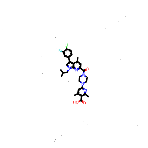 Cc1cc(N2CCN(C(=O)c3cc(C)c4c(-c5ccc(Cl)c(F)c5)cn(CC(C)C)c4n3)CC2)nc(C)c1C(=O)O